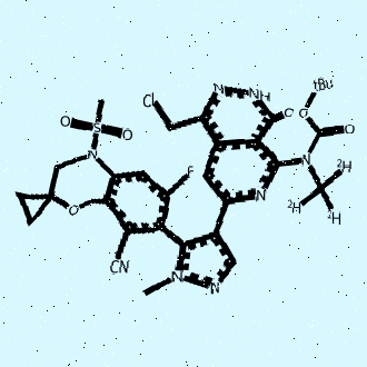 [2H]C([2H])([2H])N(C(=O)OC(C)(C)C)c1nc(-c2cnn(C)c2-c2c(F)cc3c(c2C#N)OC2(CC2)CN3S(C)(=O)=O)cc2c(CCl)n[nH]c(=O)c12